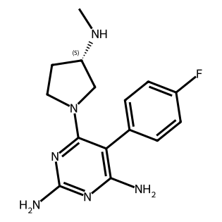 CN[C@H]1CCN(c2nc(N)nc(N)c2-c2ccc(F)cc2)C1